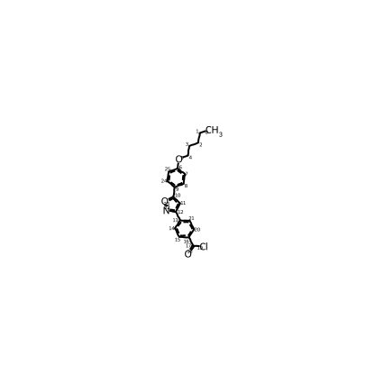 CCCCCOc1ccc(-c2cc(-c3ccc(C(=O)Cl)cc3)no2)cc1